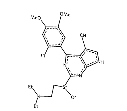 CCN(CC)CC[S+]([O-])c1nc(-c2cc(OC)c(OC)cc2Cl)c2c(C#N)c[nH]c2n1